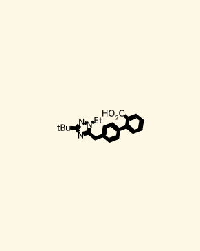 CCn1nc(C(C)(C)C)nc1Cc1ccc(-c2ccccc2C(=O)O)cc1